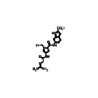 CC(C)Cn1cc(NC(=O)CN=C(N)N)cc1C(=O)Nc1ccc2cc(C(=O)O)[nH]c2c1